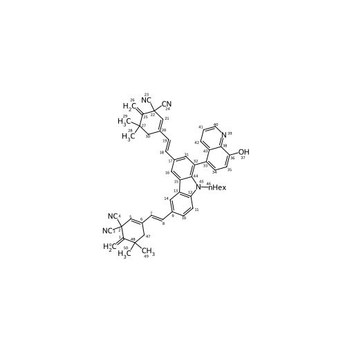 C=C1C(C#N)(C#N)C=C(C=Cc2ccc3c(c2)c2cc(C=CC4=CC(C#N)(C#N)C(=C)C(C)(C)C4)cc(-c4ccc(O)c5ncccc45)c2n3CCCCCC)CC1(C)C